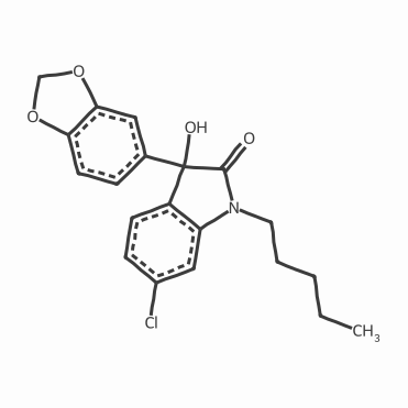 CCCCCN1C(=O)C(O)(c2ccc3c(c2)OCO3)c2ccc(Cl)cc21